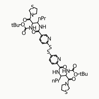 CCCC(NC(=O)c1ccc(SSc2ccc(C(=O)NC(CCC)C(NC(=O)OC(C)(C)C)C(=O)N3CCSC3)nc2)nc1)C(NC(=O)OC(C)(C)C)C(=O)N1CCSC1